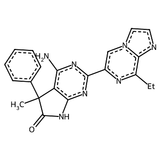 CCc1nc(-c2nc(N)c3c(n2)NC(=O)C3(C)c2ccccc2)cn2ccnc12